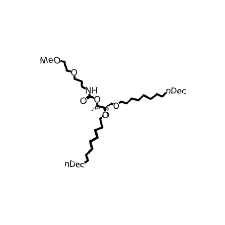 CCCCCCCCCCCCCCCCCCOC[C@@H](OCCCCCCCCCCCCCCCCCC)[C@H](C)OC(=O)NCCCOCCOC